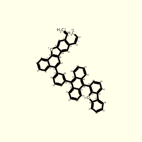 C=Cc1cc2oc3c4ccccc4c(-c4cccc(-c5c6ccccc6c(-c6cccc7c6oc6ccccc67)c6ccccc56)c4)cc3c2cc1/C=C\C